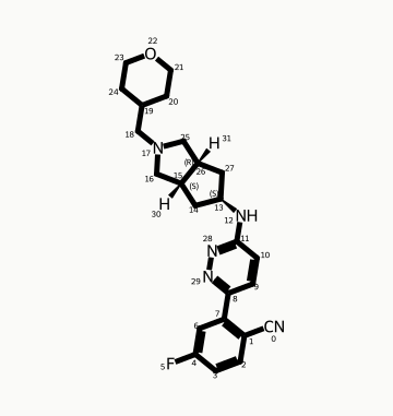 N#Cc1ccc(F)cc1-c1ccc(N[C@H]2C[C@@H]3CN(CC4CCOCC4)C[C@@H]3C2)nn1